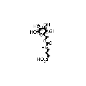 O=C(NCCCS(=O)(=O)O)OC[C@H]1O[C@@H](O)[C@H](O)[C@@H](O)[C@@H]1O